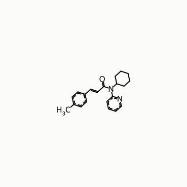 Cc1ccc(C=CC(=O)N(c2ccccn2)C2CCCCC2)cc1